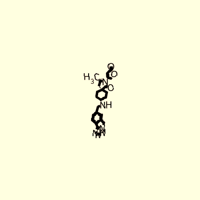 C[C@H]1C[C@]2(CC[C@@H](NCc3ccc4c(c3)Cn3nnnc3-4)CC2)C(=O)N1C1=CC(=O)OC1